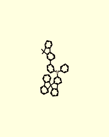 CC1(C)c2ccccc2-c2ccc(-c3cccc(N(c4ccccc4)c4ccc5c(c4)C4(c6ccccc6-c6ccccc64)c4ccccc4-5)c3)cc21